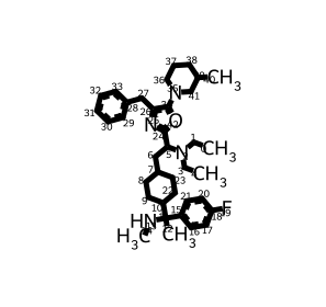 CCN(CC)C(CC1CCC(C(C)(NC)c2ccc(F)cc2)CC1)c1nc(Cc2ccccc2)c(N2CCCC(C)C2)o1